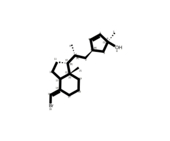 C[C@H](C[C@H]1C=C[C@@](C)(O)C1)[C@H]1CCC2C(=CBr)CCC[C@]21C